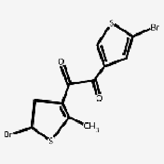 CC1=C(C(=O)C(=O)c2csc(Br)c2)CC(Br)S1